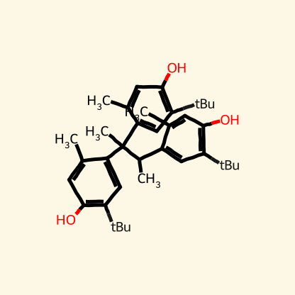 Cc1cc(O)c(C(C)(C)C)cc1C(C)C(C)(c1cc(C(C)(C)C)c(O)cc1C)c1cc(C(C)(C)C)c(O)cc1C